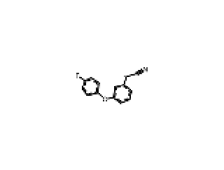 N#C[CH]c1cccc(Oc2ccc(F)cc2)c1